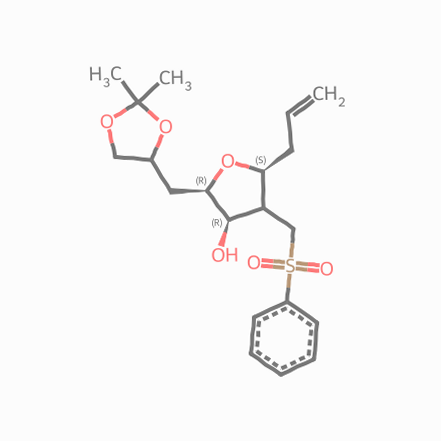 C=CC[C@@H]1O[C@H](CC2COC(C)(C)O2)[C@H](O)C1CS(=O)(=O)c1ccccc1